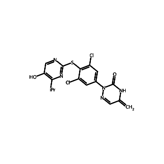 C=C1C=NN(c2cc(Cl)c(Sc3ncc(O)c(C(C)C)n3)c(Cl)c2)C(=O)N1